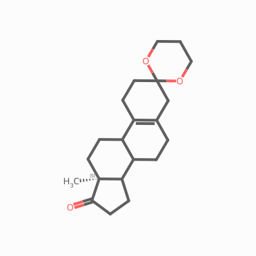 C[C@]12CCC3C4=C(CCC3C1CCC2=O)CC1(CC4)OCCCO1